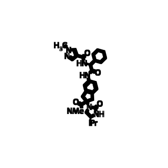 CNC(=O)C1(N2C[C@@H](C(C)C)NC2=O)Cc2ccc(NC(=O)[C@@H](NC(=O)c3cnn(C)c3)C3CCCCC3)cc2C1